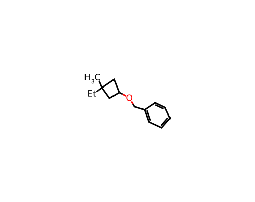 CCC1(C)CC(OCc2ccccc2)C1